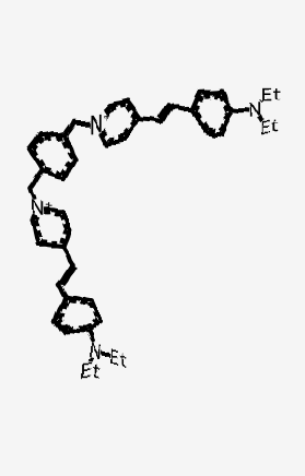 CCN(CC)c1ccc(/C=C/c2cc[n+](Cc3ccc(C[n+]4ccc(/C=C/c5ccc(N(CC)CC)cc5)cc4)cc3)cc2)cc1